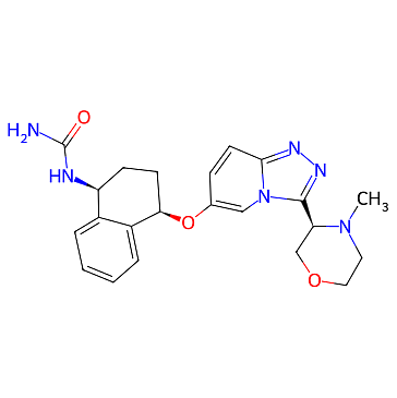 CN1CCOC[C@H]1c1nnc2ccc(O[C@@H]3CC[C@H](NC(N)=O)c4ccccc43)cn12